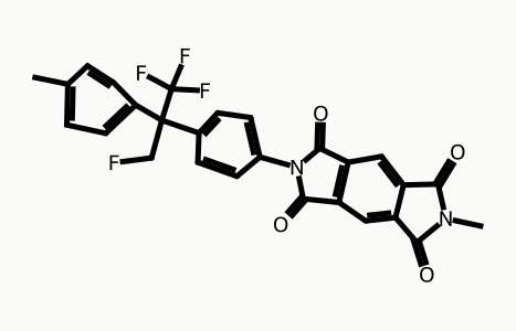 Cc1ccc(C(CF)(c2ccc(-n3c(=O)c4cc5c(=O)n(C)c(=O)c5cc4c3=O)cc2)C(F)(F)F)cc1